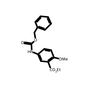 CCOC(=O)c1cc(NC(=O)OCc2ccccc2)ccc1OC